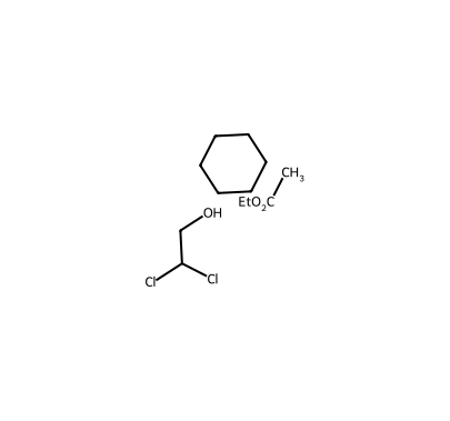 C1CCCCC1.CCOC(C)=O.OCC(Cl)Cl